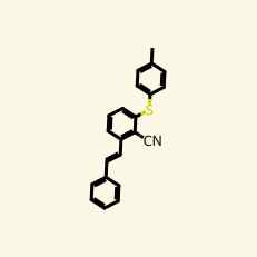 Cc1ccc(Sc2cccc(/C=C/c3ccccc3)c2C#N)cc1